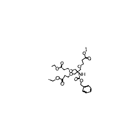 CCOC(=O)CCOCC(COCCC(=O)OCC)(COCCC(=O)OCC)NC(=O)OCc1ccccc1